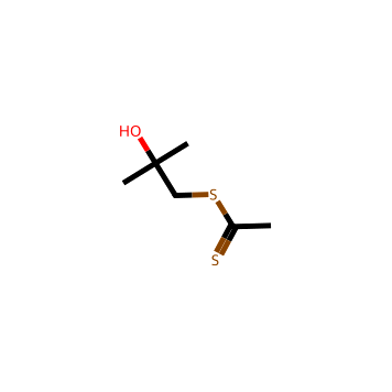 CC(=S)SCC(C)(C)O